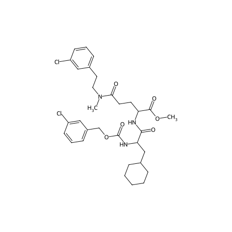 COC(=O)C(CCC(=O)N(C)CCc1cccc(Cl)c1)NC(=O)C(CC1CCCCC1)NC(=O)OCc1cccc(Cl)c1